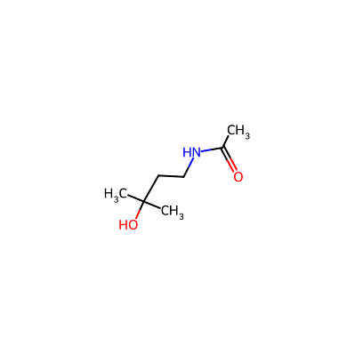 CC(=O)NCCC(C)(C)O